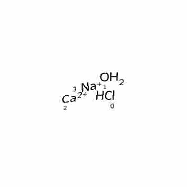 Cl.O.[Ca+2].[Na+]